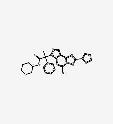 CC(C(=O)N[C@@H]1CCCOC1)(c1ccccc1)n1ncc2c1nc(N)n1nc(-c3ccco3)nc21